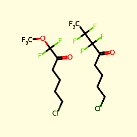 O=C(CCCCCl)C(F)(F)C(F)(F)C(F)(F)F.O=C(CCCCCl)C(F)(F)OC(F)(F)F